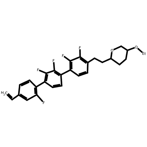 C=Cc1ccc(-c2ccc(-c3ccc(CCC4CCC(OCC)CO4)c(F)c3F)c(F)c2F)c(F)c1